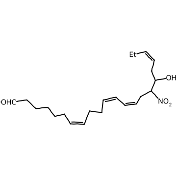 CC/C=C\CC(O)C(C/C=C\C=C/CC/C=C\CCCCC[C]=O)[N+](=O)[O-]